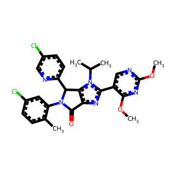 COc1ncc(-c2nc3c(n2C(C)C)C(c2ccc(Cl)cn2)N(c2cc(Cl)ccc2C)C3=O)c(OC)n1